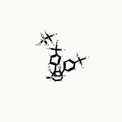 C[N+]12CCN(CC1)[C@@H](c1ccc(C(F)(F)F)cc1)[C@H]2c1ccc(C(F)(F)F)cc1.O=S(=O)([O-])C(F)(F)F